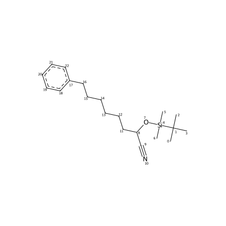 CC(C)(C)[Si](C)(C)OC(C#N)CCCCCCc1ccccc1